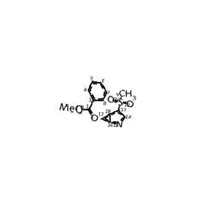 COC(=O)c1ccccc1.CS(=O)(=O)c1cnc2cc1-2